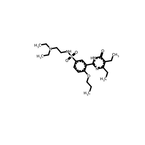 CCCOc1ccc(S(=O)(=O)NCCN(CC)CC)cc1-c1nc(CC)c(CC)c(=O)[nH]1